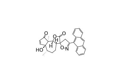 C[C@H]1CC[C@@H]2[C@@H](OC(=O)C23CC(c2c4ccccc4cc4ccccc24)=NO3)[C@]2(C)C(=O)C=C[C@@]12O